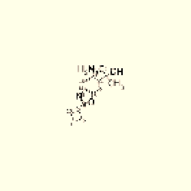 CC(C)(O)c1cc2oc(C3CCC3)nc2cc1N